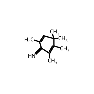 CC1=CC(C)(C)C(C)=C(C)C1=N